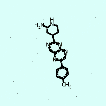 Cc1ccc(-c2cnc3nc(C4CCNC(N)C4)ncc3n2)cc1